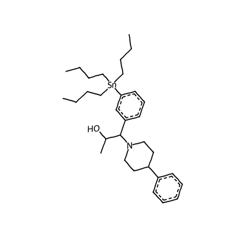 CCC[CH2][Sn]([CH2]CCC)([CH2]CCC)[c]1cccc(C(C(C)O)N2CCC(c3ccccc3)CC2)c1